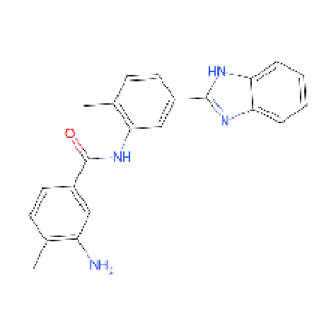 Cc1ccc(C(=O)Nc2cc(-c3nc4ccccc4[nH]3)ccc2C)cc1N